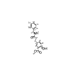 COC(=O)c1cc(CCC(=O)NCc2ccccc2)ccc1O